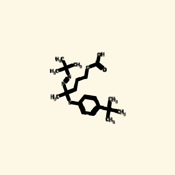 CC(C)(C)N=NC(C)(CCCOC(=O)O)Sc1ccc(C(C)(C)C)cc1